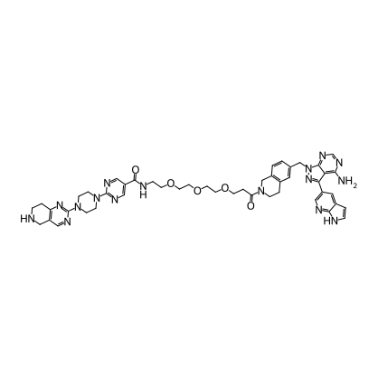 Nc1ncnc2c1c(-c1cnc3[nH]ccc3c1)nn2Cc1ccc2c(c1)CCN(C(=O)CCOCCOCCOCCNC(=O)c1cnc(N3CCN(c4ncc5c(n4)CCNC5)CC3)nc1)C2